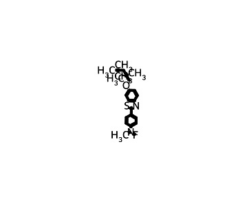 CN(F)c1ccc(-c2nc3ccc(OCC(C)(C)CC(C)(C)C)cc3s2)cc1